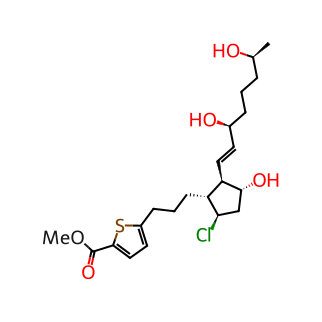 COC(=O)c1ccc(CCC[C@@H]2[C@@H](/C=C/[C@@H](O)CCC[C@H](C)O)[C@H](O)C[C@H]2Cl)s1